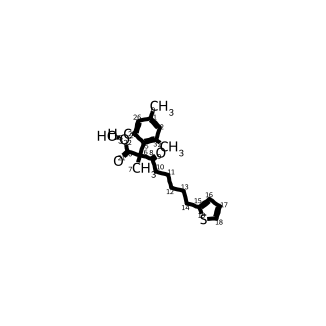 Cc1cc(C)c(C(C)(C(=O)CCCCCc2cccs2)C(=O)OO)c(C)c1